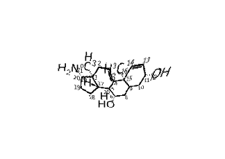 C[C@]12CC=C3[C@@H]([C@@H](O)CC4C[C@@H](O)C=C[C@]34C)[C@@H]1CC[C@@H]2N